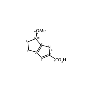 CO[C@@H]1CCc2cc(C(=O)O)[nH]c21